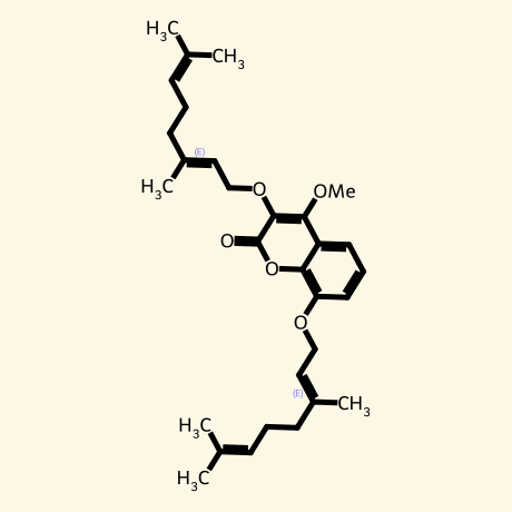 COc1c(OC/C=C(\C)CCC=C(C)C)c(=O)oc2c(OC/C=C(\C)CCC=C(C)C)cccc12